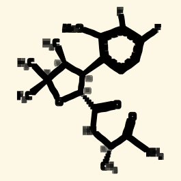 COc1c([C@H]2[C@H](C(=O)N[C@@H](C)C(N)=O)O[C@@](C)(C(F)(F)F)[C@H]2C)ccc(F)c1F